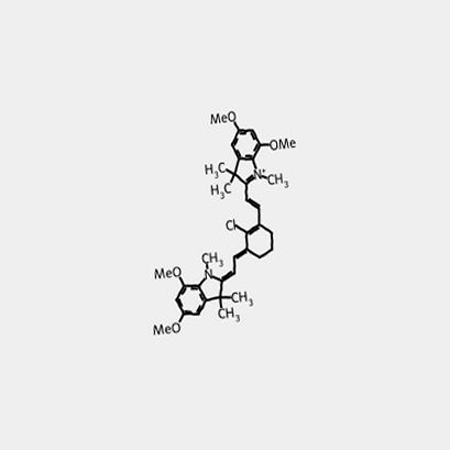 COc1cc(OC)c2c(c1)C(C)(C)C(/C=C/C1=C(Cl)C(=C/C=C3\N(C)c4c(OC)cc(OC)cc4C3(C)C)/CCC1)=[N+]2C